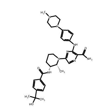 C[C@@H]1[C@H](NC(=O)c2ccc(C(C)(C)O)cc2)CCCN1c1cnc(C(N)=O)c(Nc2ccc(N3CCN(C)CC3)cc2)n1